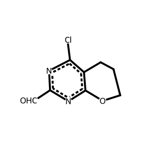 O=Cc1nc(Cl)c2c(n1)OCCC2